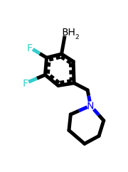 Bc1cc(CN2CCCCC2)cc(F)c1F